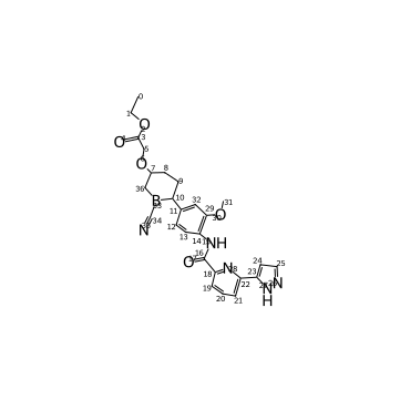 CCOC(=O)COC1CCC(c2ccc(NC(=O)c3cccc(-c4ccn[nH]4)n3)c(OC)c2)B(C#N)C1